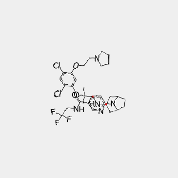 CC(C)(CNC1CC2CCC(C1)N2c1ccc(C(=O)NCC(F)(F)F)cn1)Oc1cc(OCCN2CCCC2)c(Cl)cc1Cl